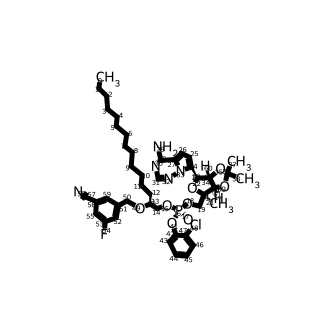 CCCCCCCCCCCCC[C@@H](COP(=O)(OC[C@@]1(C)O[C@@H](c2ccc3c(N)ncnn23)[C@@H]2OC(C)(C)O[C@@H]21)Oc1ccccc1Cl)OCc1cc(F)cc(C#N)c1